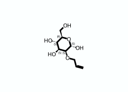 C=CCO[C@H]1[C@@H](O)[C@H](O)[C@@H](CO)O[C@@H]1O